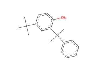 CC(C)(C)c1ccc(O)c(C(C)(C)c2ccccc2)c1